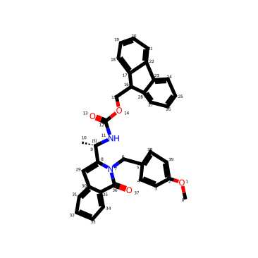 COc1ccc(Cn2c([C@H](C)NC(=O)OCC3c4ccccc4-c4ccccc43)cc3ccccc3c2=O)cc1